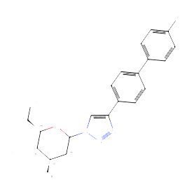 CC(=O)OC[C@H]1OC(n2cc(-c3ccc(-c4ccc(C(C)=O)cc4)cc3)nn2)[C@H](OC(C)=O)[C@@H](OC(C)=O)[C@@H]1OC(C)=O